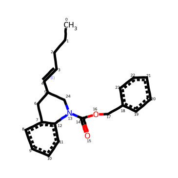 CCC/C=C/C1Cc2ccccc2N(C(=O)OCc2ccccc2)C1